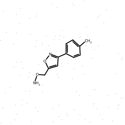 Cc1ccc(-c2cc(CON)on2)cc1